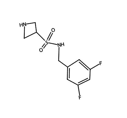 O=S(=O)(NCc1cc(F)cc(F)c1)C1CNC1